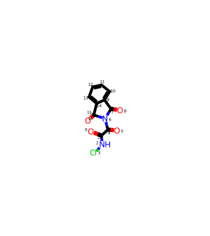 O=C(NCl)C(=O)N1C(=O)c2ccccc2C1=O